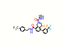 CC(C)(C)NC(=O)N1CCc2c(-c3cccc(C(F)(F)P)c3)ccc(C(=O)NCCc3ccc(C(F)(F)F)cc3)c2C1